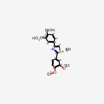 CCOc1ccc(-c2nc(-c3ccc(NC(C)=O)c(C(=O)O)c3)cs2)cc1OCC.[KH]